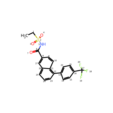 CCS(=O)(=O)NC(=O)c1ccc2c(-c3ccc(C(F)(F)F)cc3)cccc2c1